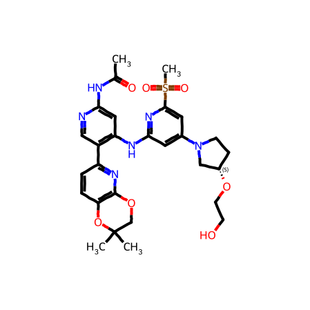 CC(=O)Nc1cc(Nc2cc(N3CC[C@H](OCCO)C3)cc(S(C)(=O)=O)n2)c(-c2ccc3c(n2)OCC(C)(C)O3)cn1